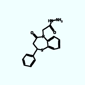 NNC(=O)CN1C(=O)CC(c2ccccc2)Sc2ccccc21